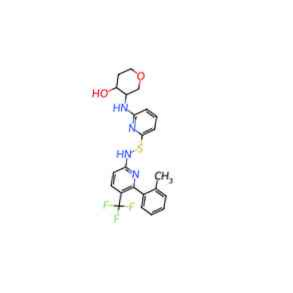 Cc1ccccc1-c1nc(NSc2cccc(NC3COCCC3O)n2)ccc1C(F)(F)F